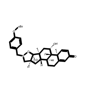 CCCCOc1ccc(CN2C[C@@H]3C[C@H]4[C@@H]5CCC6=CC(=O)C=C[C@]6(C)[C@@]5(F)[C@@H](O)C[C@]4(C)[C@]3(C(=O)O)O2)cc1